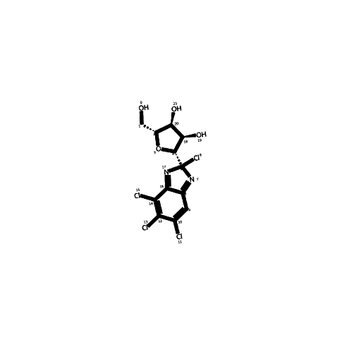 OC[C@H]1O[C@@H](C2(Cl)N=c3cc(Cl)c(Cl)c(Cl)c3=N2)[C@H](O)[C@@H]1O